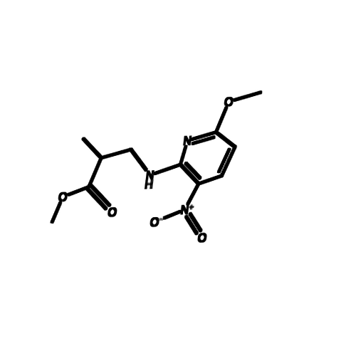 COC(=O)C(C)CNc1nc(OC)ccc1[N+](=O)[O-]